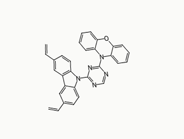 C=Cc1ccc2c(c1)c1cc(C=C)ccc1n2-c1ncnc(N2c3ccccc3Oc3ccccc32)n1